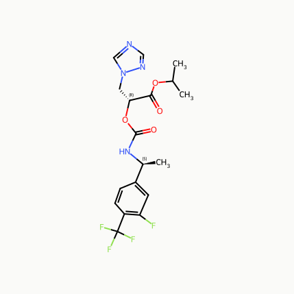 CC(C)OC(=O)[C@@H](Cn1cncn1)OC(=O)N[C@@H](C)c1ccc(C(F)(F)F)c(F)c1